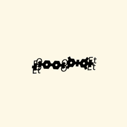 CCC(C)(CC)OC(=O)c1ccc(-c2ccc(C(=O)Oc3c(C)cc(C(C)(C)c4cc(C)c(C(C)(CC)CC)c(C)c4)cc3C)cc2)cc1